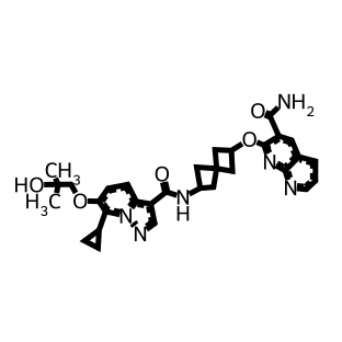 CC(C)(O)COc1ccc2c(C(=O)NC3CC4(C3)CC(Oc3nc5ncccc5cc3C(N)=O)C4)cnn2c1C1CC1